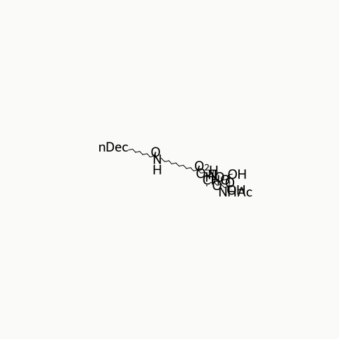 [2H]N(CC(C)O[C@H]1[C@H](O)[C@@H](CO)O[C@H](O)[C@@H]1NC(C)=O)[C@H]([C]=O)[C@@H](C)OC(=O)CCCCCCCCCCNC(=O)CCCCCCCCCCCCCCCCC